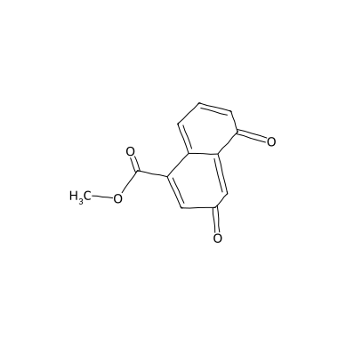 COC(=O)C1=CC(=O)C=C2C(=O)C=CC=C21